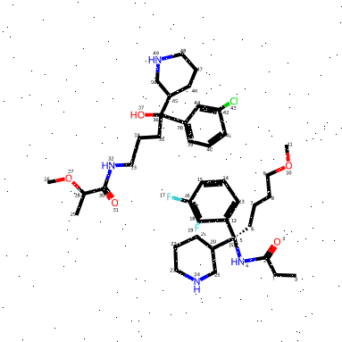 CCC(=O)N[C@](CCCCOC)(c1cccc(F)c1F)C1CCCNC1.COC(C)C(=O)NCCCC(O)(c1cccc(Cl)c1)C1CCCNC1